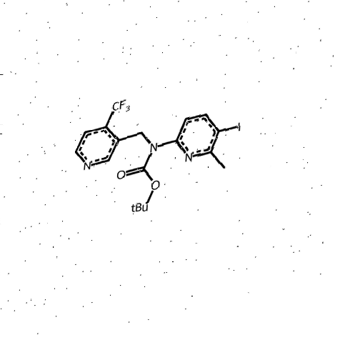 Cc1nc(N(Cc2cnccc2C(F)(F)F)C(=O)OC(C)(C)C)ccc1I